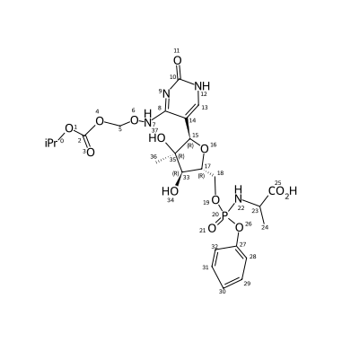 CC(C)OC(=O)OCONc1nc(=O)[nH]cc1[C@H]1O[C@H](COP(=O)(NC(C)C(=O)O)Oc2ccccc2)[C@@H](O)[C@@]1(C)O